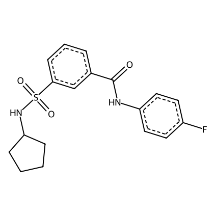 O=C(Nc1ccc(F)cc1)c1cccc(S(=O)(=O)NC2CCCC2)c1